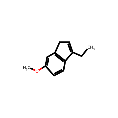 CCC1=CCc2cc(OC)ccc21